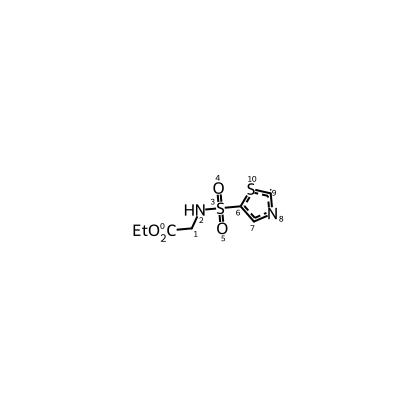 CCOC(=O)CNS(=O)(=O)c1cn[c]s1